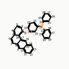 Bc1cccc2ccc3cc4ccccc4cc3c12.c1ccc(P(c2ccccc2)c2ccccc2)cc1